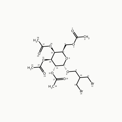 CC(=O)OC[C@H]1O[C@H](OCC(CBr)CBr)[C@H](OC(C)=O)[C@@H](OC(C)=O)[C@H]1OC(C)=O